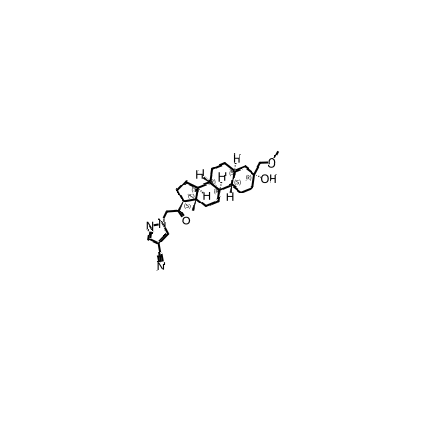 COC[C@@]1(O)CC[C@H]2[C@@H](CC[C@@H]3[C@@H]2CC[C@]2(C)[C@@H](C(=O)Cn4cc(C#N)cn4)CC[C@@H]32)C1